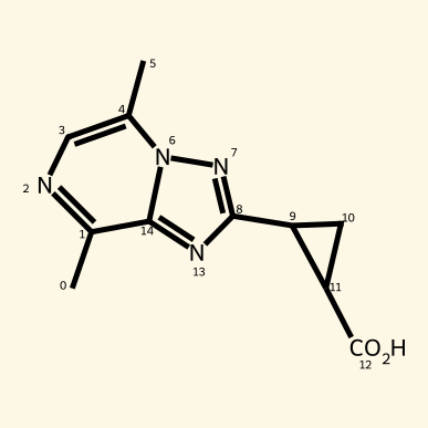 Cc1ncc(C)n2nc(C3CC3C(=O)O)nc12